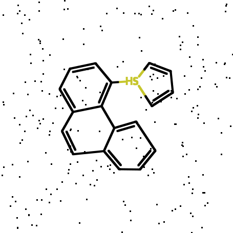 C1=C[SH](c2cccc3ccc4ccccc4c23)C=C1